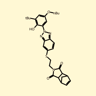 CCCCOc1cc(-n2nc3ccc(SCCN4C(=O)C5C6C=CC(C6)C5C4=O)cc3n2)c(O)c(C(C)(C)C)c1